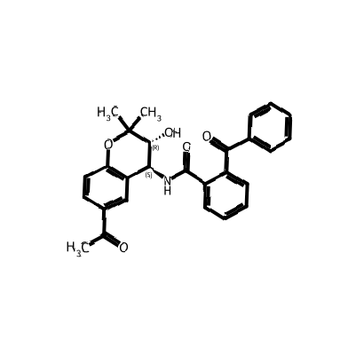 CC(=O)c1ccc2c(c1)[C@H](NC(=O)c1ccccc1C(=O)c1ccccc1)[C@@H](O)C(C)(C)O2